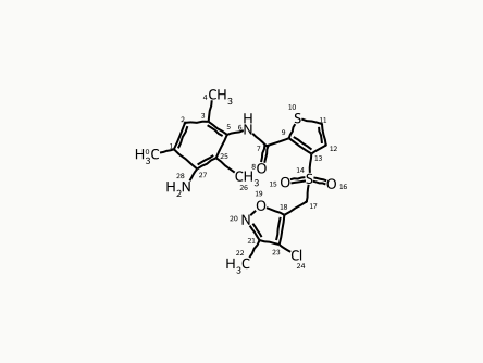 Cc1cc(C)c(NC(=O)c2sccc2S(=O)(=O)Cc2onc(C)c2Cl)c(C)c1N